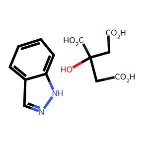 O=C(O)CC(O)(CC(=O)O)C(=O)O.c1ccc2[nH]ncc2c1